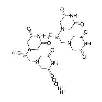 C[C@@H](CN1CC(=O)NC(=O)C1)N1CC(=O)NC(=O)C1.C[C@@H](CN1CC(=O)NC(=O)C1)N1CC(=O)NC(=O)C1.[Cl-].[Cl-].[H+].[H+]